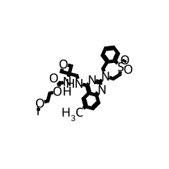 Cc1ccc2nc(N3CCS(=O)(=O)c4ccccc4C3)nc(NCC3(NC(=O)OCCOI)COC3)c2c1